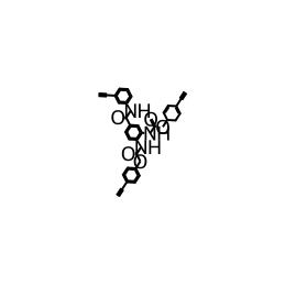 C#CC1=CCC(OC(=O)Nc2cc(C(=O)Nc3cccc(C#C)c3)ccc2NC(=O)Oc2ccc(C#C)cc2)C=C1